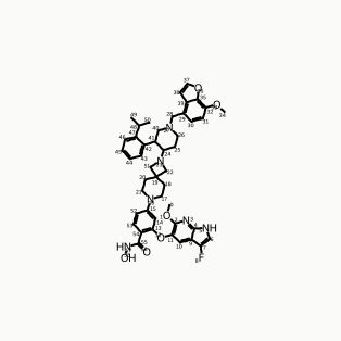 COc1nc2[nH]cc(F)c2cc1Oc1cc(N2CCC3(CC2)CN(C2CCN(Cc4ccc(OC)c5occc45)CC2c2ccccc2C(C)C)C3)ccc1C(=O)NO